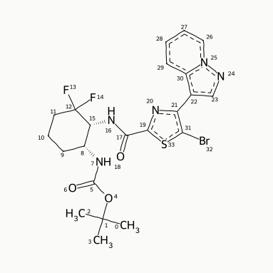 CC(C)(C)OC(=O)N[C@@H]1CCCC(F)(F)[C@@H]1NC(=O)c1nc(-c2cnn3ccccc23)c(Br)s1